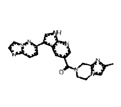 Cc1cn2c(n1)CN(C(=O)c1cnc3[nH]cc(-c4ccc5nccn5n4)c3c1)CC2